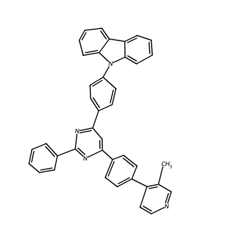 Cc1cnccc1-c1ccc(-c2cc(-c3ccc(-n4c5ccccc5c5ccccc54)cc3)nc(-c3ccccc3)n2)cc1